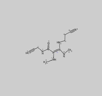 C#CCNC(=O)/C(NC)=C(/NC)NCCC#N